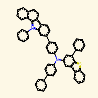 c1ccc(-c2ccc(N(c3ccc(-c4ccc5c6ccc7ccccc7c6n(-c6ccccc6)c5c4)cc3)c3cc(-c4ccccc4)c4sc5ccccc5c4c3)cc2)cc1